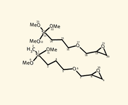 CO[Si](C)(CCCOCC1CO1)OC.CO[Si](CCCOCC1CO1)(OC)OC